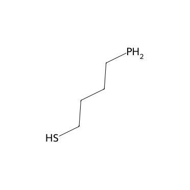 PCCCCS